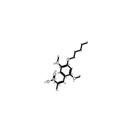 CCCCCSc1cc(OC)c(C=C(C)[N+](=O)[O-])cc1OC